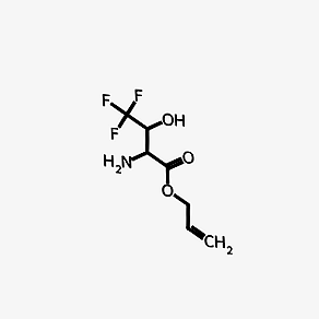 C=CCOC(=O)C(N)C(O)C(F)(F)F